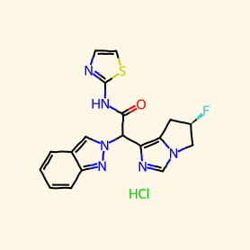 Cl.O=C(Nc1nccs1)C(c1ncn2c1C[C@@H](F)C2)n1cc2ccccc2n1